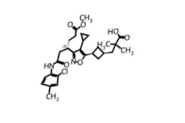 COC(=O)CC[C@@H](CC(=O)Nc1ccc(C)cc1Cl)c1noc([C@H]2C[C@@H](CC(C)(C)C(=O)O)C2)c1C1CC1